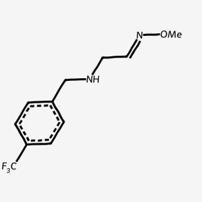 CON=CCNCc1ccc(C(F)(F)F)cc1